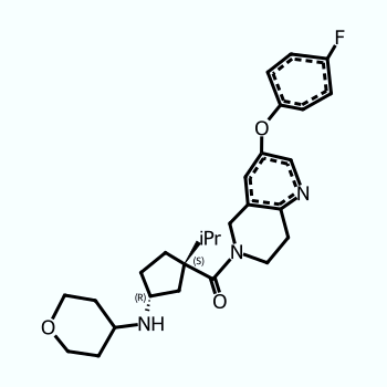 CC(C)[C@]1(C(=O)N2CCc3ncc(Oc4ccc(F)cc4)cc3C2)CC[C@@H](NC2CCOCC2)C1